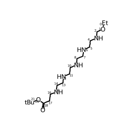 CCOCNCCNCCNCCNCCNCCC(=O)OC(C)(C)C